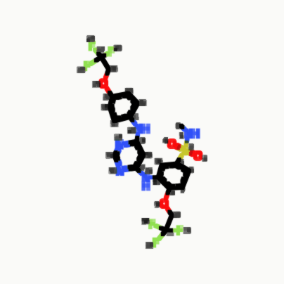 CNS(=O)(=O)c1ccc(OCC(F)(F)F)c(Nc2cc(Nc3ccc(OCC(F)(F)F)cc3)ncn2)c1